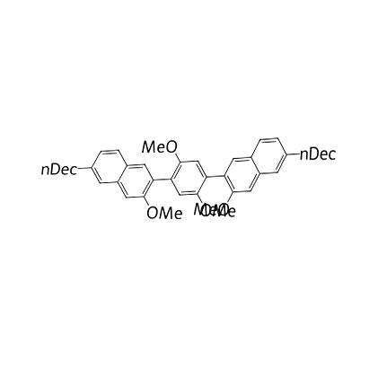 CCCCCCCCCCc1ccc2cc(-c3cc(OC)c(-c4cc5ccc(CCCCCCCCCC)cc5cc4OC)cc3OC)c(OC)cc2c1